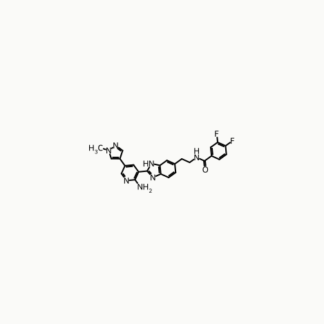 Cn1cc(-c2cnc(N)c(-c3nc4ccc(CCNC(=O)c5ccc(F)c(F)c5)cc4[nH]3)c2)cn1